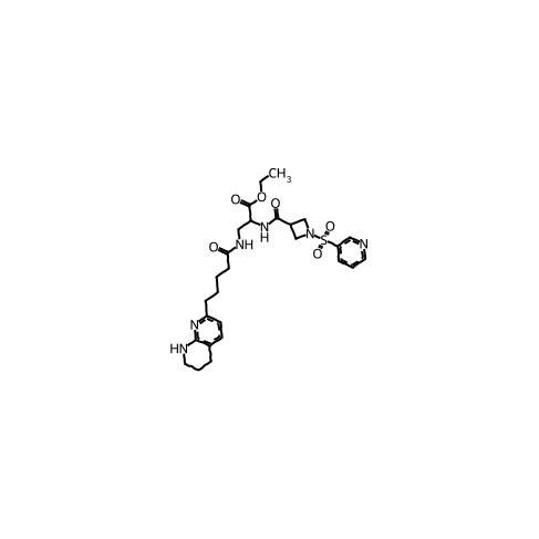 CCOC(=O)C(CNC(=O)CCCCc1ccc2c(n1)NCCC2)NC(=O)C1CN(S(=O)(=O)c2cccnc2)C1